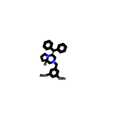 COc1cc(CN2C[C@@H]3CCCN3[C@H](C(c3ccccc3)c3ccccc3)C2)cc(OC)c1